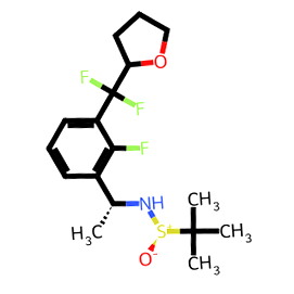 C[C@@H](N[S@+]([O-])C(C)(C)C)c1cccc(C(F)(F)C2CCCO2)c1F